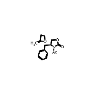 C=C1CCO1.CC(=O)N1C(=O)OCC1Cc1ccccc1